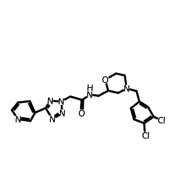 O=C(Cn1nnc(-c2cccnc2)n1)NCC1CN(Cc2ccc(Cl)c(Cl)c2)CCO1